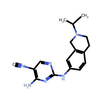 [C-]#[N+]c1cnc(Nc2ccc3c(c2)CN(C(C)C)CC3)nc1N